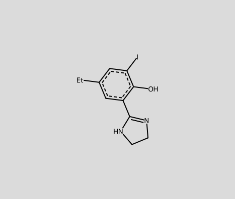 CCc1cc(I)c(O)c(C2=NCCN2)c1